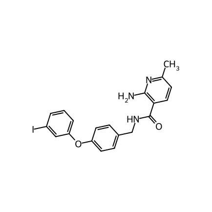 Cc1ccc(C(=O)NCc2ccc(Oc3cccc(I)c3)cc2)c(N)n1